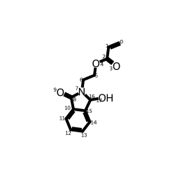 C=CC(=O)OCCN1C(=O)c2ccccc2C1O